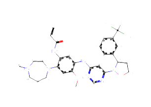 C=CC(=O)Nc1cc(Nc2cc(N3OCCC3c3cccc(C(F)(F)F)c3)ncn2)c(OC)cc1N1CCCN(C)CC1